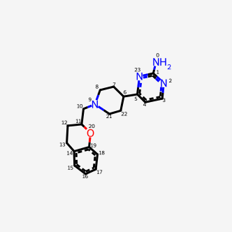 Nc1nccc(C2CCN(CC3CCc4ccccc4O3)CC2)n1